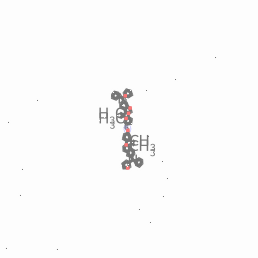 CC1(C)c2cc(/C=C/c3ccc4c(c3)C(C)(C)c3c-4ccc4cc(N(c5ccccc5)c5ccccc5)ccc34)ccc2-c2ccc3cc(N(c4ccccc4)c4ccccc4)ccc3c21